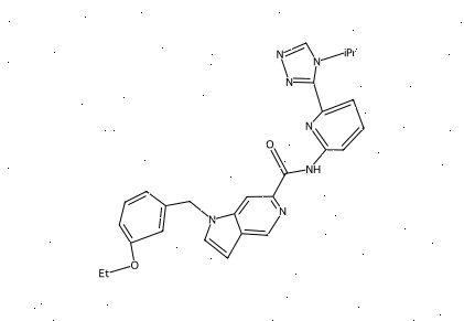 CCOc1cccc(Cn2ccc3cnc(C(=O)Nc4cccc(-c5nncn5C(C)C)n4)cc32)c1